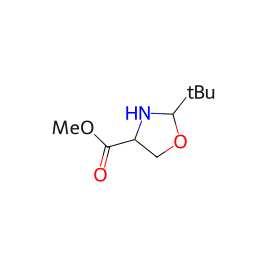 COC(=O)C1COC(C(C)(C)C)N1